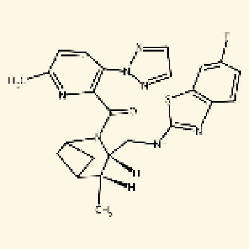 Cc1ccc(-n2nccn2)c(C(=O)N2C3CC(C3)[C@@H](C)[C@H]2CNc2nc3ccc(F)cc3s2)n1